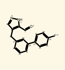 O=Cc1[nH]ncc1Cc1cccc(-c2ccc(F)cc2)c1